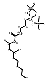 CCCCCCC(F)CC(C)OC(=O)NCCC[Si](C)(O[Si](C)(C)C)O[Si](C)(C)C